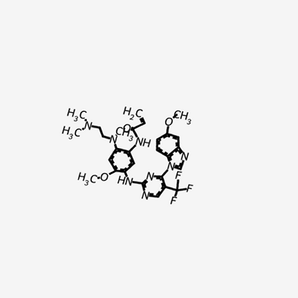 C=CC(=O)Nc1cc(Nc2ncc(C(F)(F)F)c(-n3cnc4cc(OC)ccc43)n2)c(OC)cc1N(C)CCN(C)C